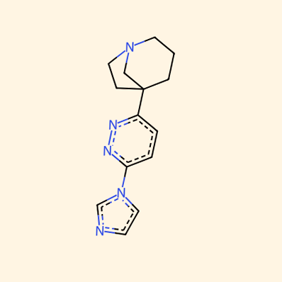 c1cn(-c2ccc(C34CCCN(CC3)C4)nn2)cn1